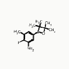 Cc1cc(B2OC(C)(C)C2(C)C)cc(N)c1F